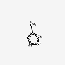 CCCc1[c]nno1